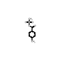 Cc1ccc(C(=O)OS(C)(=O)=O)cc1